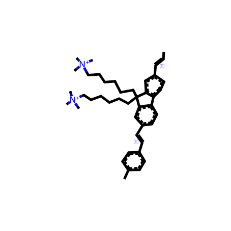 C/C=C/c1ccc2c(c1)C(CCCCCC[N+](C)(C)C)(CCCCCC[N+](C)(C)C)c1cc(/C=C/c3ccc(C)cc3)ccc1-2